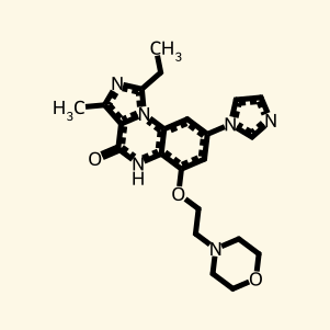 CCc1nc(C)c2c(=O)[nH]c3c(OCCN4CCOCC4)cc(-n4ccnc4)cc3n12